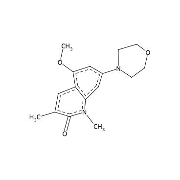 COc1cc(N2CCOCC2)cc2c1cc(C)c(=O)n2C